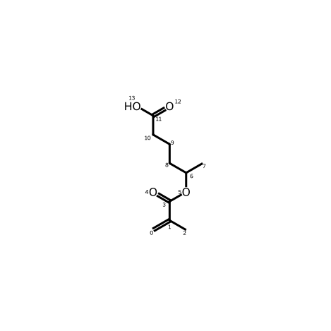 C=C(C)C(=O)OC(C)CCCC(=O)O